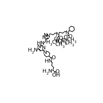 CC(C)(C)OC(=O)N(CCCN(C(=O)OC(C)(C)C)C1CCCCC1)CCCn1cc(CNc2nc(N)cc(N3CCC(C(=O)NCCC[C@H](N)C(=O)O)CC3)n2)nn1